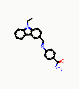 CCn1c2ccccc2c2cc(C=Nc3ccc(C(N)=O)cc3)ccc21